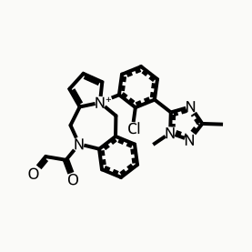 Cc1nc(-c2cccc([N+]34C=CC=C3CN(C(=O)C=O)c3ccccc3C4)c2Cl)n(C)n1